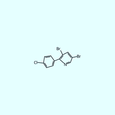 Clc1ccc(-c2ncc(Br)cc2Br)cc1